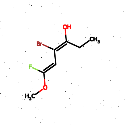 CC/C(O)=C(Br)\C=C(/F)OC